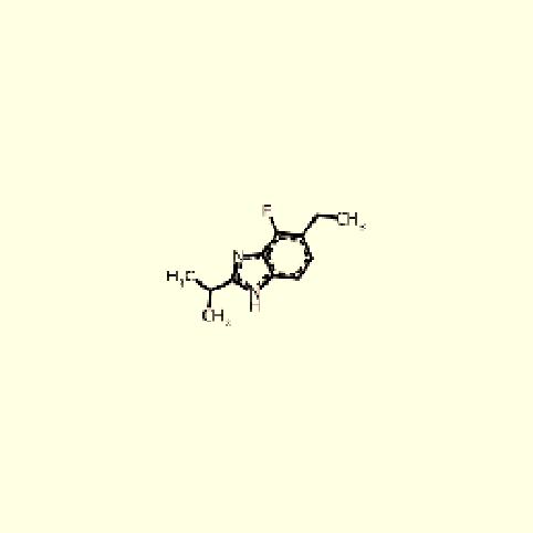 CCc1ccc2[nH]c(C(C)C)nc2c1F